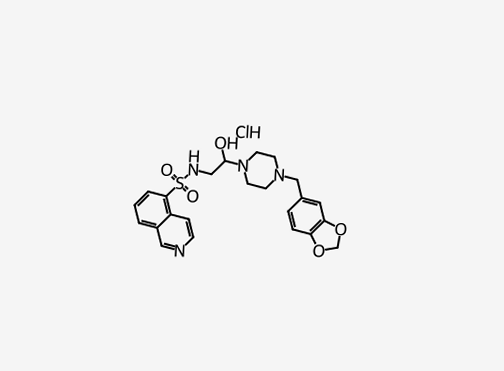 Cl.O=S(=O)(NCC(O)N1CCN(Cc2ccc3c(c2)OCO3)CC1)c1cccc2cnccc12